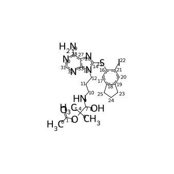 CC(=O)OC(C)(C)C(O)NCCCn1c(Sc2cc3c(cc2I)CCC3)nc2c(N)ncnc21